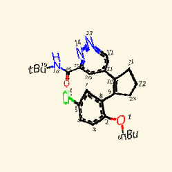 CCCCOc1ccc(Cl)cc1C1=C(c2cnnc(C(=O)NC(C)(C)C)c2)CCC1